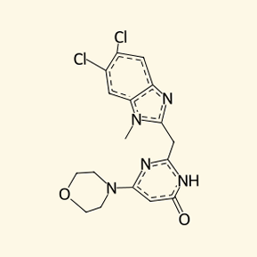 Cn1c(Cc2nc(N3CCOCC3)cc(=O)[nH]2)nc2cc(Cl)c(Cl)cc21